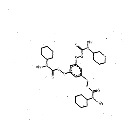 CCCN(C(=S)SSc1cc(SSC(=S)N(CCC)C2CCCCC2)cc(SSC(=S)N(CCC)C2CCCCC2)c1)C1CCCCC1